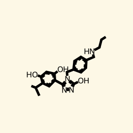 CCCNCc1ccc(Cn2c(O)nnc2-c2cc(C(C)C)c(O)cc2O)cc1